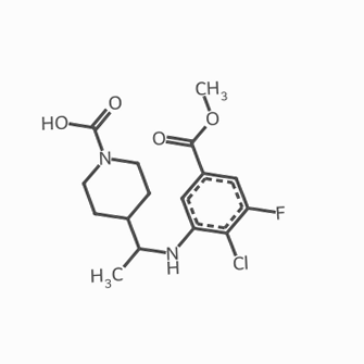 COC(=O)c1cc(F)c(Cl)c(NC(C)C2CCN(C(=O)O)CC2)c1